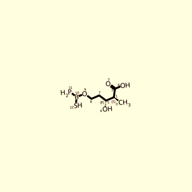 C[C@H](C(=O)O)[C@H](O)CCOB(P)S